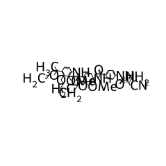 C=CCOc1c(C(=O)Nc2ccc(C(C)OCC=C)c(OCC=C)c2OC)ccc(NC(=O)c2ccc(NC(=O)[C@@H](N)CC#N)cc2)c1OC